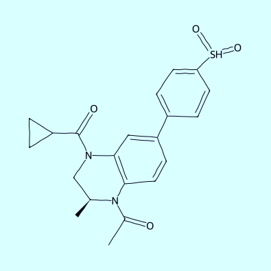 CC(=O)N1c2ccc(-c3ccc([SH](=O)=O)cc3)cc2N(C(=O)C2CC2)C[C@@H]1C